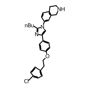 CCCCc1nc(-c2ccc(OCCc3ccc(Cl)cc3)cc2)cn1-c1ccc2c(c1)CNCC2